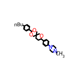 CCCCc1ccc(C2OCC3(CCC(c4ccc(N5CCN(C)CC5)cc4)OC3)CO2)cc1